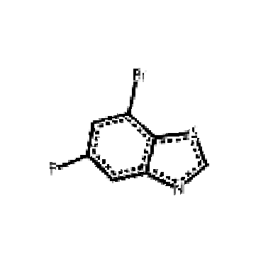 Fc1cc(Br)c2scnc2c1